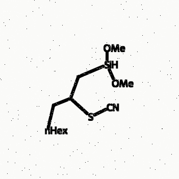 CCCCCCCC(C[SiH](OC)OC)SC#N